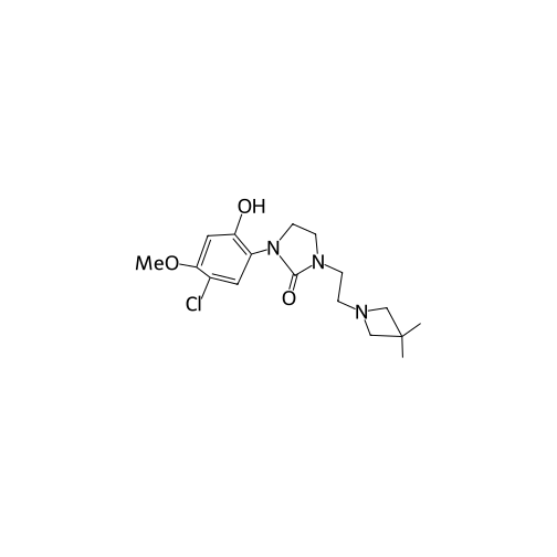 COc1cc(O)c(N2CCN(CCN3CC(C)(C)C3)C2=O)cc1Cl